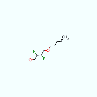 C=CCCCOCC(F)C(F)C[O]